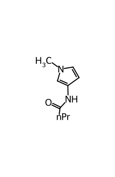 CCCC(=O)Nc1ccn(C)c1